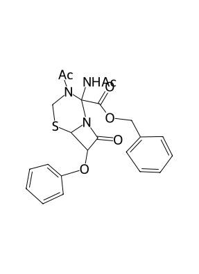 CC(=O)NC1(C(=O)OCc2ccccc2)N(C(C)=O)CSC2C(Oc3ccccc3)C(=O)N21